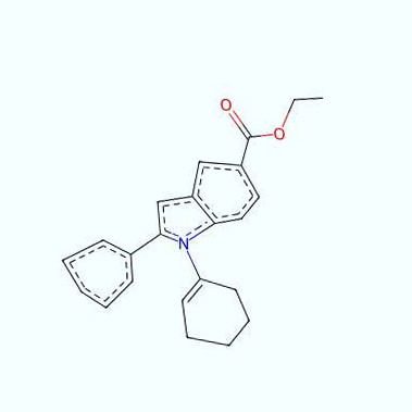 CCOC(=O)c1ccc2c(c1)cc(-c1ccccc1)n2C1=CCCCC1